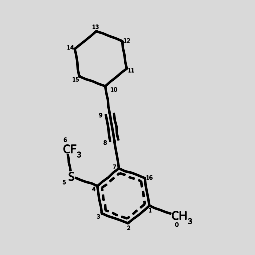 Cc1ccc(SC(F)(F)F)c(C#CC2CCCCC2)c1